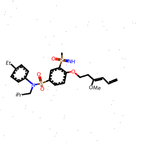 C=C/C=C(/CCOc1ccc(S(=O)(=O)N(CC(C)C)c2ccc(CC)cc2)cc1S(C)(=N)=O)OC